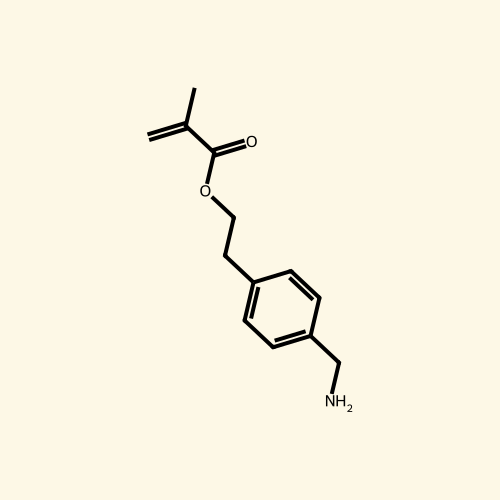 C=C(C)C(=O)OCCc1ccc(CN)cc1